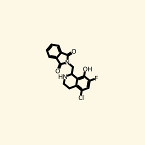 O=C1c2ccccc2C(=O)N1CC1NCCc2c(Cl)cc(F)c(O)c21